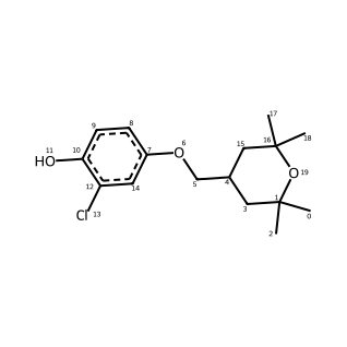 CC1(C)CC(COc2ccc(O)c(Cl)c2)CC(C)(C)O1